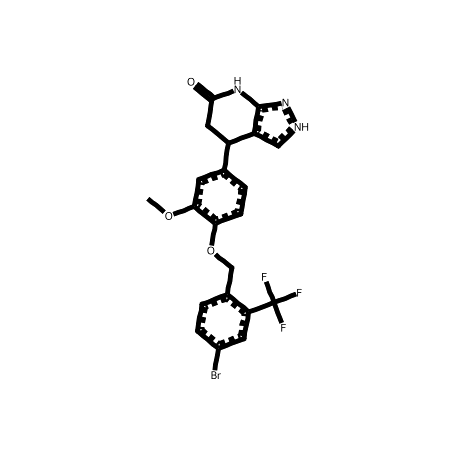 COc1cc(C2CC(=O)Nc3n[nH]cc32)ccc1OCc1ccc(Br)cc1C(F)(F)F